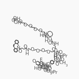 CCCC1O[C@@H]2C[C@H]3[C@@H]4C[C@H](F)C5=CC(=O)C=C[C@]5(C)[C@@]4(F)[C@@H](O)C[C@]3(C)[C@]2(C(=O)COc2ccc(NC(=O)[C@H](C)NC(=O)[C@@H](NC(=O)[C@@H](CCCCNC(=O)COC3CCCCCC4=C3NNN4CCOCCOCCOCCOCCOCCP(=O)(O)O)NC(=O)CCOCCOCCOCCOCCNC(=O)CCC(=O)N3Cc4ccccc4C#Cc4ccccc43)C(C)C)cc2)O1